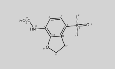 CP(C)(=O)c1ccc(NC(=O)O)c2c1CCO2